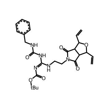 C=CC1OC(C=C)C2C(=O)N(CCN/C(=N\C(=O)OC(C)(C)C)NC(=O)NCc3ccccc3)C(=O)C12